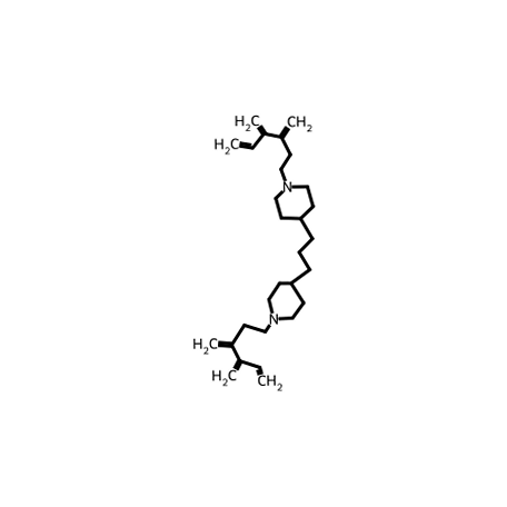 C=CC(=C)C(=C)CCN1CCC(CCCC2CCN(CCC(=C)C(=C)C=C)CC2)CC1